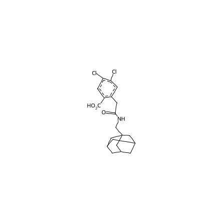 O=C(Cc1cc(Cl)c(Cl)cc1C(=O)O)NCC12CC3CC(CC(C3)C1)C2